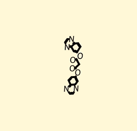 O=C(CC(=O)Oc1ccc2nccnc2c1)Oc1ccc2nccnc2c1